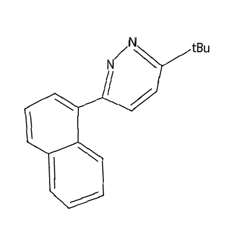 CC(C)(C)c1ccc(-c2cccc3ccccc23)nn1